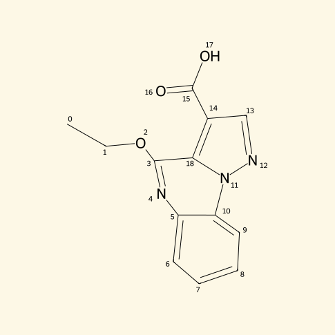 CCOc1nc2ccccc2n2ncc(C(=O)O)c12